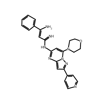 N=C(/C=C(\N)c1ccccc1)Nc1cc(N2CCOCC2)n2nc(-c3ccncc3)cc2n1